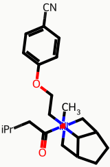 CC(C)CC(=O)N(C)C1C2CCC1CN(CCOc1ccc(C#N)cc1)C2